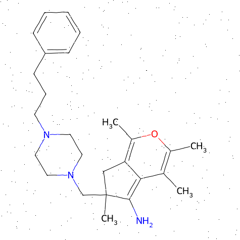 CC1=C(C)C2=C(N)C(C)(CN3CCN(CCCc4ccccc4)CC3)CC2=C(C)O1